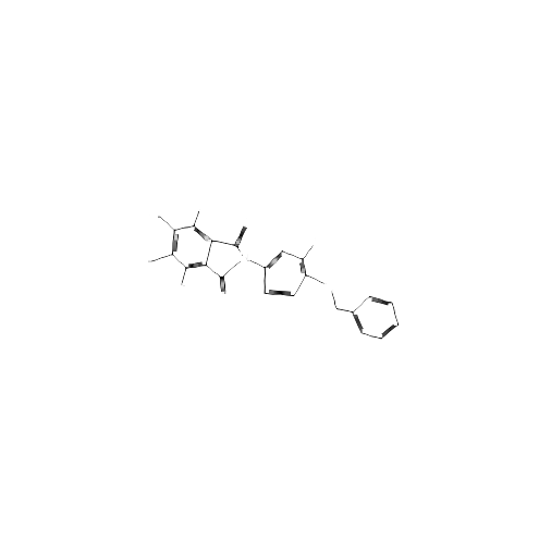 S=C1c2c(Cl)c(Cl)c(Cl)c(Cl)c2C(=S)N1c1ccc(OCc2ccccc2)c(Cl)c1